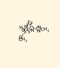 COCCC[S+]([O-])c1sc2nc(-c3cnc(C)nc3)cc(C(F)(F)F)c2c1N